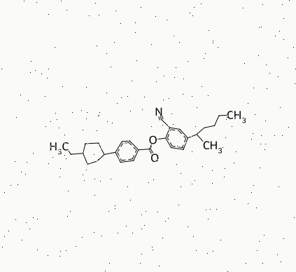 CCCCC(C)c1ccc(OC(=O)c2ccc(C3CCC(CC)CC3)cc2)c(C#N)c1